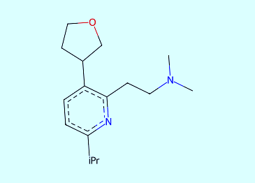 CC(C)c1ccc(C2CCOC2)c(CCN(C)C)n1